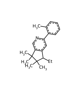 CCC1c2cc(-c3ccccc3C)ncc2C(C)(C)C1(C)C